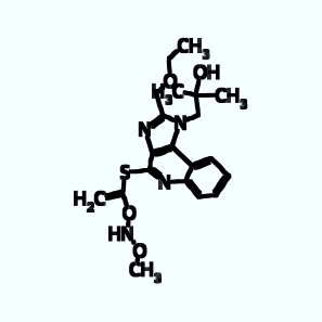 C=C(ONOC)Sc1nc2ccccc2c2c1nc(COCC)n2CC(C)(C)O